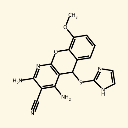 COc1cccc2c1Oc1nc(N)c(C#N)c(N)c1C2Sc1ncc[nH]1